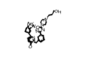 O=c1ccc(-c2ccc3nsnc3c2)nn1Cc1cccc(-c2noc(N3CCN(CCCO)CC3)n2)c1